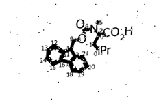 CC(C)C[C@H](C(=O)O)N(C)C(=O)OCC1c2ccccc2-c2ccccc21